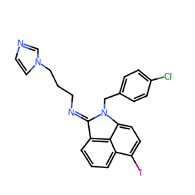 Clc1ccc(CN2C(=NCCCn3ccnc3)c3cccc4c(I)ccc2c34)cc1